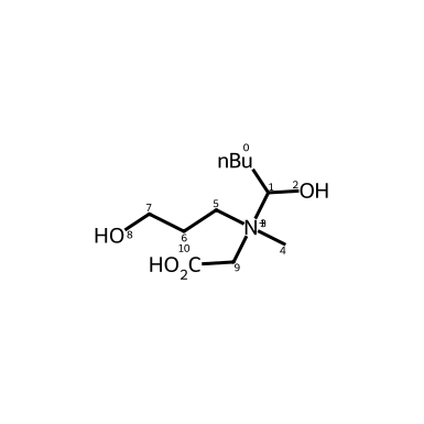 CCCCC(O)[N+](C)(CCCO)CC(=O)O